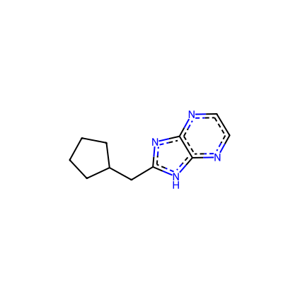 c1cnc2[nH]c(CC3CCCC3)nc2n1